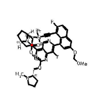 COCOc1cc(-c2ncc3c(N4C[C@H]5CC[C@@H](C4)N5C(=O)OC(C)(C)C)nc(OC[C@@H]4CCCN4C)nc3c2F)c2c(C#C[Si](C(C)C)(C(C)C)C(C)C)c(F)ccc2c1